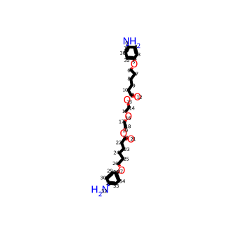 Nc1ccc(OCCCCCC(=O)OCCOCCOC(=O)CCCCCOc2ccc(N)cc2)cc1